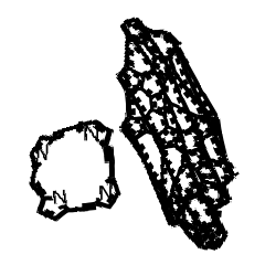 C1=CC2=NC1=CC1=NC(=CC3=NC(=CC4=NC(=C2)C=C4)C=C3)C=C1.c12c3c4c5c1c1c6c7c2c2c8c3c3c9c4c4c%10c5c5c1c1c6c6c%11c7c2c2c7c8c3c3c8c9c4c4c9c%10c5c5c1c1c6c6c%11c2c2c7c3c3c8c4c4c9c5c1c1c6c2c3c41